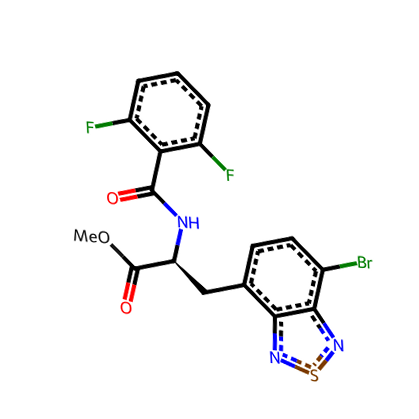 COC(=O)[C@H](Cc1ccc(Br)c2nsnc12)NC(=O)c1c(F)cccc1F